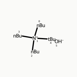 CCCC[N+](CCCC)(CCCC)C(C)(C)C.[OH-]